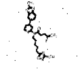 C=C(F)CCC(=O)N(CCCCCc1nc(C(C)(C)C)no1)c1cc(-c2ccc3nc(C)sc3c2)ccn1